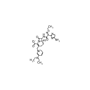 CCON=C(C(=O)NC1C(=O)N2C(C(=O)[O-])=C(C[n+]3cccc(N(CC)CC)c3)CS[C@@H]12)c1nsc(N)n1